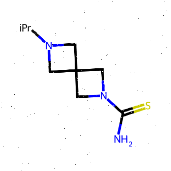 CC(C)N1CC2(CN(C(N)=S)C2)C1